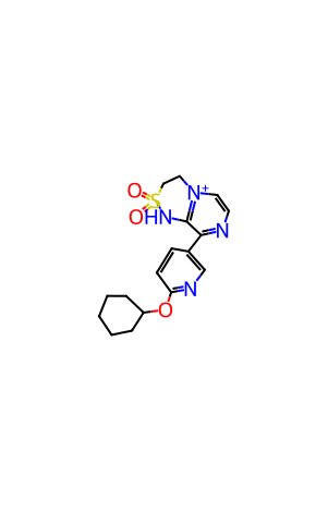 O=S1(=O)CC[n+]2ccnc(-c3ccc(OC4CCCCC4)nc3)c2N1